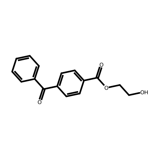 O=C(OCCO)c1ccc(C(=O)c2ccccc2)cc1